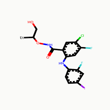 CCC(CO)ONC(=O)c1cc(Cl)c(F)cc1Nc1ccc(I)cc1F